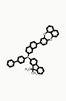 CC1(C)c2ccccc2-c2ccc(N(c3ccc(-c4ccccc4)cc3)c3ccc4ccc(-c5ccc6c(c5)Oc5cccc7cccc(c57)O6)cc4c3)cc21